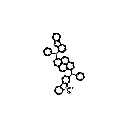 C[Si]1(C)c2ccccc2-c2ccc(N(c3ccccc3)c3ccc4ccc5c(N(c6ccccc6)c6cccc7c6sc6ccccc67)ccc6ccc3c4c65)cc21